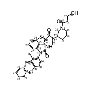 Cc1c(N2C(=O)Nc3c(C(=O)NC4CCCN(C(=O)CCO)C4)sc4nccc2c34)ccc(Oc2ccccc2)c1F